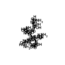 COC1C(OP(=O)(O)OCC2OC(n3cnc4c(=O)[nH]c(N)nc43)C(O)C2OP(=O)(O)OCC2OC(n3cnc4c(=O)[nH]c(N)nc43)C(O)C2O)C(COP(=O)(O)OP(=O)([O-])OP(=O)(O)OCC2OC(n3c[n+](C)c4c(=O)[nH]c(N)nc43)C(C)(F)C2O)OC1n1cnc2c(N)ncnc21